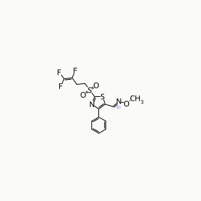 CO/N=C/c1sc(S(=O)(=O)CCC(F)=C(F)F)nc1-c1ccccc1